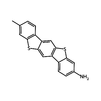 Cc1ccc2c(c1)sc1cc3c(cc12)sc1cc(N)ccc13